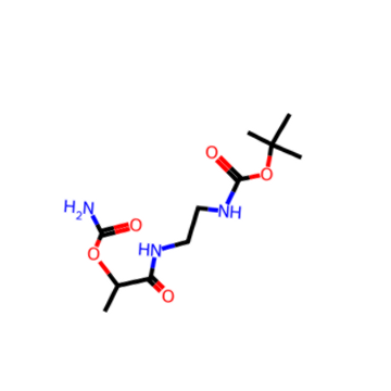 CC(OC(N)=O)C(=O)NCCNC(=O)OC(C)(C)C